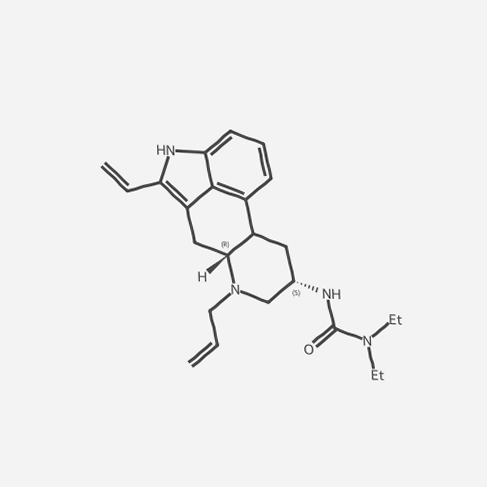 C=CCN1C[C@@H](NC(=O)N(CC)CC)CC2c3cccc4[nH]c(C=C)c(c34)C[C@H]21